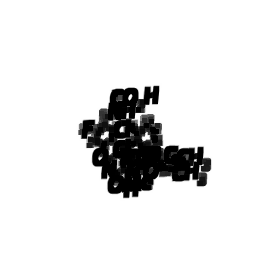 COc1nc(Oc2ccc(CNC(=O)O)c(F)c2)cnc1NC(OCC[Si](C)(C)C)S(=O)(=O)c1cccc(Cl)c1Cl